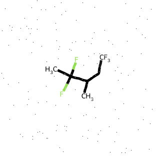 CC(CC(F)(F)F)C(C)(F)F